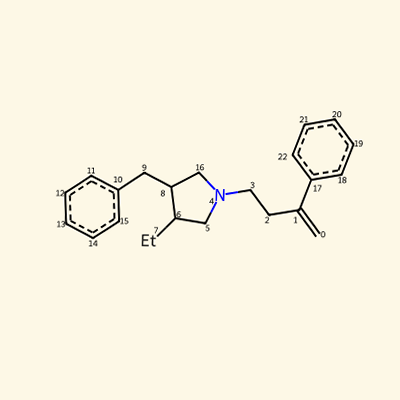 C=C(CCN1CC(CC)C(Cc2ccccc2)C1)c1ccccc1